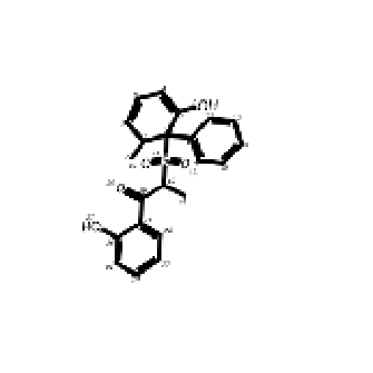 CC1C=CC=C(O)C1(c1ccccc1)S(=O)(=O)C(C)C(=O)c1ccccc1O